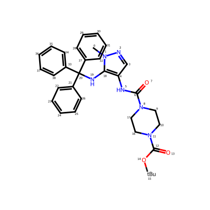 Cn1ncc(NC(=O)N2CCN(C(=O)OC(C)(C)C)CC2)c1NC(c1ccccc1)(c1ccccc1)c1ccccc1